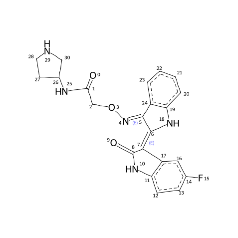 O=C(CO/N=C1/C(=C2\C(=O)Nc3ccc(F)cc32)Nc2ccccc21)NC1CCNC1